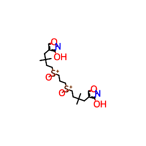 CC(C)(CC[S+]([O-])CCC[S+]([O-])CCC(C)(C)Cc1conc1O)Cc1conc1O